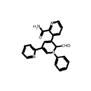 NC(=O)c1ncccc1C1=CC(c2ccccn2)=CN(c2ccccc2)C1C=O